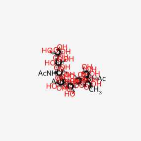 CC(=O)N[C@H]1[C@H](O[C@H]2[C@@H](O)[C@@H](CO)O[C@@H](O[C@H]3[C@H](O)[C@@H](O)[C@H](O)O[C@@H]3CO)[C@@H]2O)O[C@H](CO)[C@@H](O[C@@H]2O[C@H](CO)[C@H](O)[C@H](O[C@@H]3O[C@H](CO)[C@@H](O[C@@H]4O[C@H](CO)[C@H](O)[C@H](O[C@H]5O[C@H](CO)[C@H](O)[C@H](O)[C@H]5NC(C)=O)[C@H]4O[C@@H]4O[C@@H](C)[C@@H](O)[C@@H](O)[C@@H]4O)[C@H](O)[C@H]3NC(C)=O)[C@H]2O)[C@@H]1O